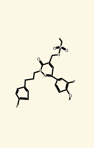 CCS(=O)(=O)OCc1cc(-c2ccc(OC)c(F)c2)nn(CCCc2ccc(F)cc2)c1=O